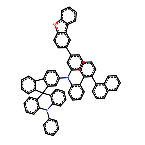 c1ccc(N2c3ccccc3C3(c4ccccc4-c4ccc(N(c5cccc(-c6ccc7oc8ccccc8c7c6)c5)c5ccccc5-c5ccccc5-c5cccc6ccccc56)cc43)c3ccccc32)cc1